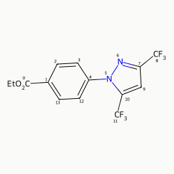 CCOC(=O)c1ccc(-n2nc(C(F)(F)F)cc2C(F)(F)F)cc1